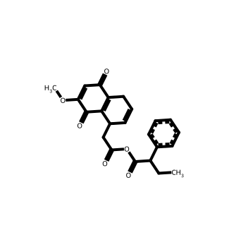 CCC(C(=O)OC(=O)CC1C=CCC2=C1C(=O)C(OC)=CC2=O)c1ccccc1